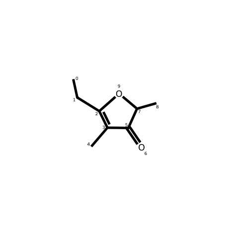 CCC1=C(C)C(=O)C(C)O1